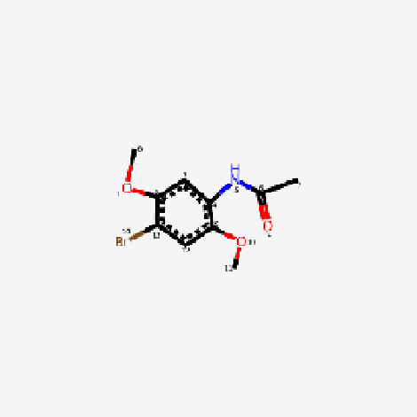 COc1cc(NC(C)=O)c(OC)cc1Br